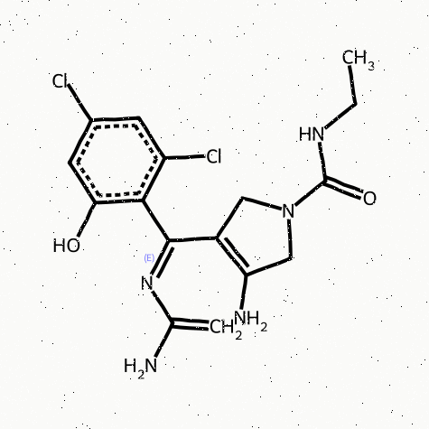 C=C(N)/N=C(\C1=C(N)CN(C(=O)NCC)C1)c1c(O)cc(Cl)cc1Cl